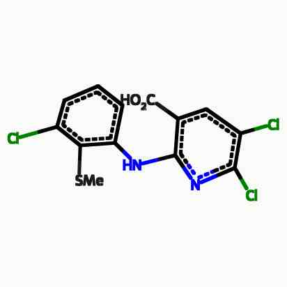 CSc1c(Cl)cccc1Nc1nc(Cl)c(Cl)cc1C(=O)O